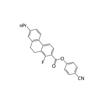 CCCc1ccc2c(c1)CCc1c-2ccc(C(=O)Oc2ccc(C#N)cc2)c1F